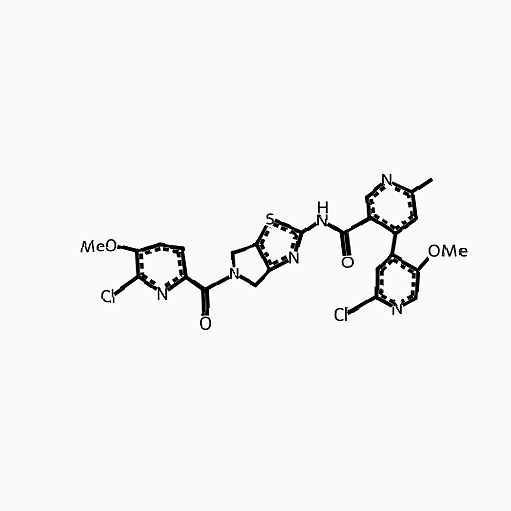 COc1cnc(Cl)cc1-c1cc(C)ncc1C(=O)Nc1nc2c(s1)CN(C(=O)c1ccc(OC)c(Cl)n1)C2